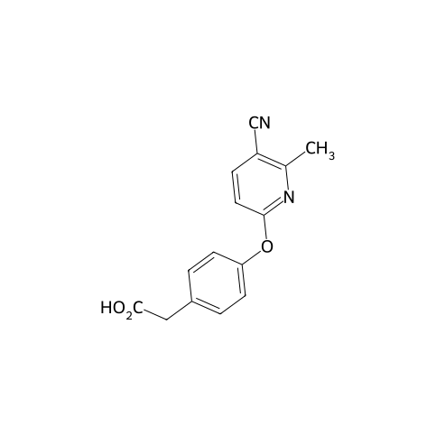 Cc1nc(Oc2ccc(CC(=O)O)cc2)ccc1C#N